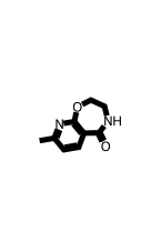 Cc1ccc2c(n1)OCCNC2=O